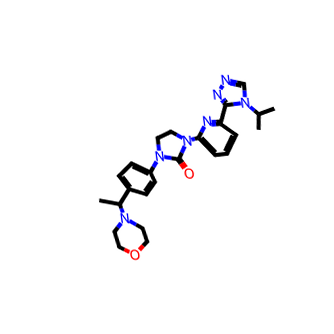 CC(c1ccc(N2CCN(c3cccc(-c4nncn4C(C)C)n3)C2=O)cc1)N1CCOCC1